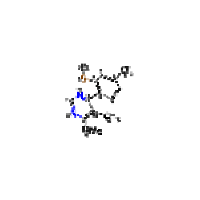 CCSc1cc(C(F)(F)F)ccc1-c1ncnc(OC)c1C